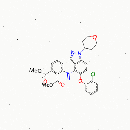 COC(=O)c1cccc(Nc2c(Oc3ccccc3Cl)ccc3c2cnn3C2CCOCC2)c1C(=O)OC